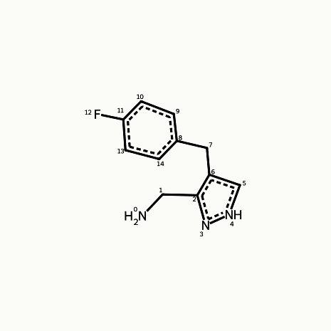 NCc1n[nH]cc1Cc1ccc(F)cc1